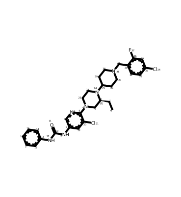 CC[C@H]1CN(c2ncc(NC(=O)Nc3ccccc3)cc2Cl)CCN1C1CCN(Cc2ccc(Cl)cc2F)CC1